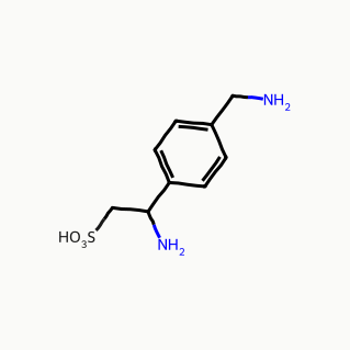 NCc1ccc(C(N)CS(=O)(=O)O)cc1